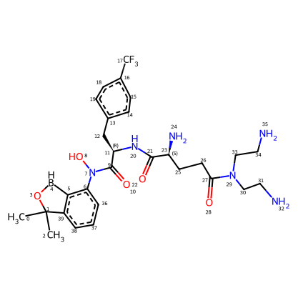 CC1(C)OBc2c(N(O)C(=O)[C@@H](Cc3ccc(C(F)(F)F)cc3)NC(=O)[C@@H](N)CCC(=O)N(CCN)CCN)cccc21